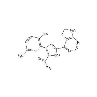 CCc1ccc(C(F)(F)F)cc1-c1cc(-c2ncnc3c2CCN3)[nH]c1C(N)=O